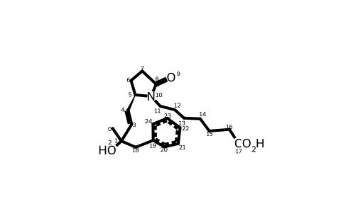 CC(O)(C=C[C@H]1CCC(=O)N1CCCCCCC(=O)O)Cc1ccccc1